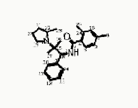 Cc1ccc(C(=O)NC(c2ccccc2)C(C)(C)N2CCCC2C)c(C)c1